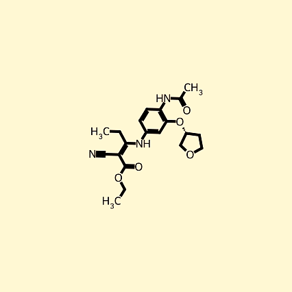 CCOC(=O)/C(C#N)=C(/CC)Nc1ccc(NC(C)=O)c(O[C@@H]2CCOC2)c1